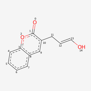 O=c1oc2ccccc2cc1CC=CO